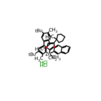 Cl.Cl.[CH2]=[Zr]([CH3])([C]1=CC(C2(C)CCCCC2)=CC1C)([c]1ccc2ccccc2c1)[c]1c(C)c(C(C)(C)C)cc2c1Cc1cc(C)c(C(C)(C)C)cc1-2